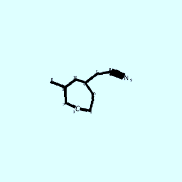 CC1CCCCC(CC#N)C1